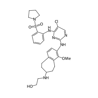 COc1c(Nc2ncc(Cl)c(Nc3ccccc3S(=O)(=O)N3CCCC3)n2)ccc2c1CCC(NCCO)CC2